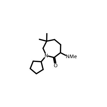 CNC1CCC(C)(C)CN(C2CCCC2)C1=O